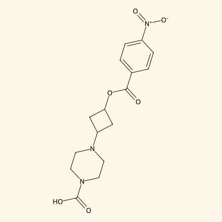 O=C(OC1CC(N2CCN(C(=O)O)CC2)C1)c1ccc([N+](=O)[O-])cc1